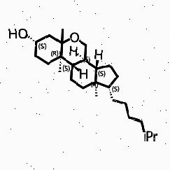 CC(C)CCCC[C@H]1CC[C@H]2[C@@H]3COC4(C)C[C@@H](O)CC[C@]4(C)[C@H]3CC[C@]12C